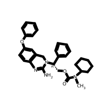 CN(C(=O)OC[C@@H](c1ccccc1)N1Cc2cc(Oc3ccccc3)ccc2N=C1N)C1CCCCC1